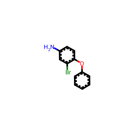 Nc1ccc(Oc2ccccc2)c(Br)c1